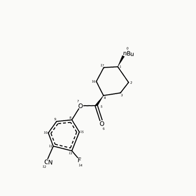 CCCC[C@H]1CC[C@@H](C(=O)Oc2ccc(C#N)c(F)c2)CC1